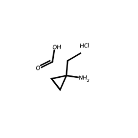 CCC1(N)CC1.Cl.O=CO